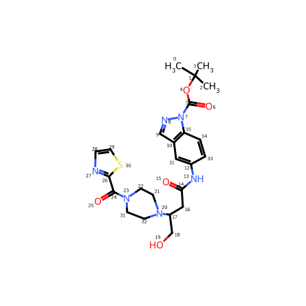 CC(C)(C)OC(=O)n1ncc2cc(NC(=O)CC(CO)N3CCN(C(=O)c4nccs4)CC3)ccc21